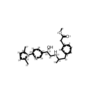 COC(=O)Cc1cccc(CC(C)NC[C@@H](O)c2ccc(-n3c(C)ccc3C)nc2)c1